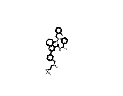 CNCCN(C)Cc1cccc(-c2cc(C(=O)N[C@@H](C)c3ccccc3)c3c(n2)=CCCCC=3NNCc2ccccc2F)c1